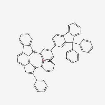 c1ccc(-c2cc3ccc4c5ccccc5n(-c5cccc(-c6ccc7c(c6)C(c6ccccc6)(c6ccccc6)c6ccccc6-7)c5)c4c3n2-c2ccccc2)cc1